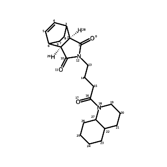 O=C1[C@@H]2C3C=CC(CC3)[C@@H]2C(=O)N1CCCC(=O)N1CCCC2CCCCC21